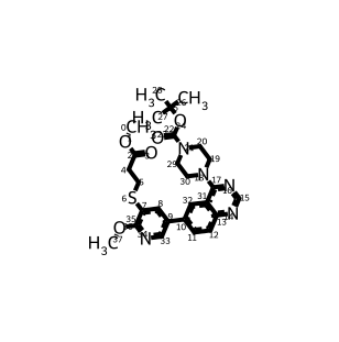 COC(=O)CCSc1cc(-c2ccc3ncnc(N4CCN(C(=O)OC(C)(C)C)CC4)c3c2)cnc1OC